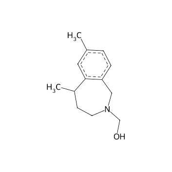 Cc1ccc2c(c1)C(C)CCN(CO)C2